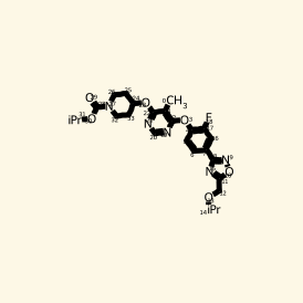 Cc1c(Oc2ccc(-c3noc(COC(C)C)n3)cc2F)ncnc1OC1CCN(C(=O)OC(C)C)CC1